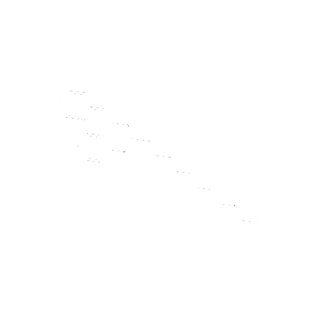 CN(N=O)C(=O)SCCOCCCCN1C(=O)c2cccc3c2c(cc2ccccc23)C1=O